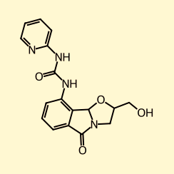 O=C(Nc1ccccn1)Nc1cccc2c1C1OC(CO)CN1C2=O